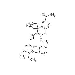 CCCC(CC)C[C@@H](CCN[C@@H]1[C@@H](OC)Cc2ccc(C(N)=O)cc2C1(CC)CC)C(=O)OCc1ccccc1